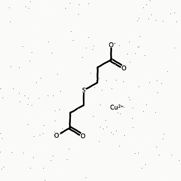 O=C([O-])CCSCCC(=O)[O-].[Cu+2]